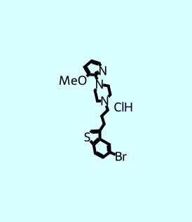 COc1cccnc1N1CCN(CCCc2csc3ccc(Br)cc23)CC1.Cl